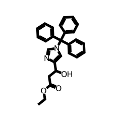 CCOC(=O)CC(O)c1cn(C(c2ccccc2)(c2ccccc2)c2ccccc2)cn1